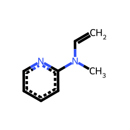 C=CN(C)c1ccccn1